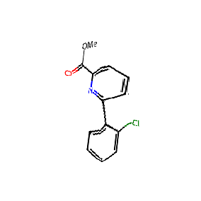 COC(=O)c1cc[c]c(-c2ccccc2Cl)n1